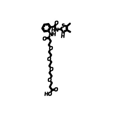 CC1=C(C)SC(NC(=O)c2ccccc2NC(=O)CCOCCOCCOCCOCCC(=O)O)N1